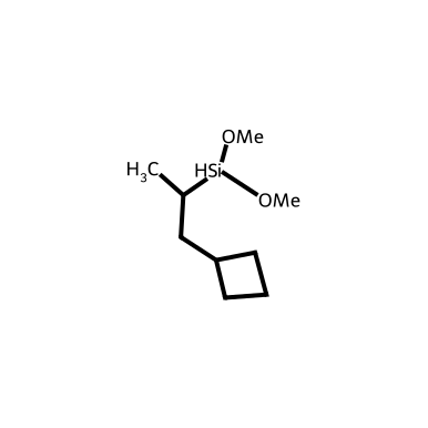 CO[SiH](OC)C(C)CC1CCC1